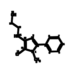 Cn1c(-c2ccccc2)nc(NCCO)c1Cl